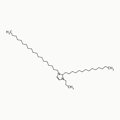 CCCCCCCCCCCCCCCCCCCN1C=CN(CCC)C1CCCCCCCCCCCCCC